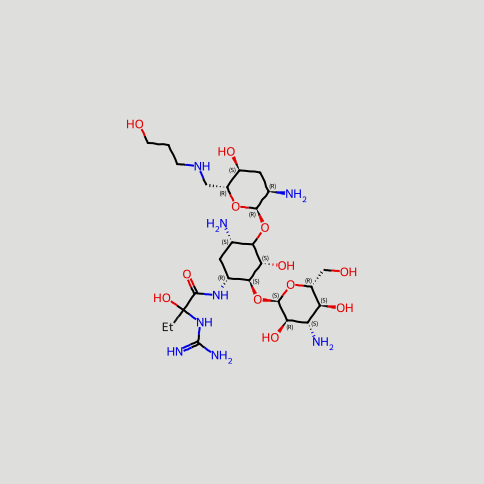 CCC(O)(NC(=N)N)C(=O)N[C@@H]1C[C@H](N)C(O[C@H]2O[C@H](CNCCCO)[C@@H](O)C[C@H]2N)[C@H](O)[C@H]1O[C@H]1O[C@H](CO)[C@@H](O)[C@H](N)[C@H]1O